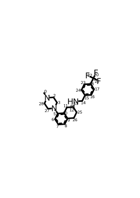 CN1CCN(c2cccc3c2C[C@H](NCc2ccc(C(F)(F)F)cc2)CC3)CC1